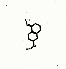 CCCNC1CCC2=C(CCC/C2=N\O)C1